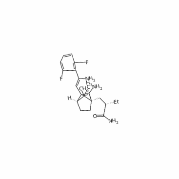 CC[C@@H](C[C@@]12CC[C@@H](C(/C=C(\N)c3c(F)cccc3F)=C1N)C2(C)C)C(N)=O